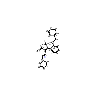 CC1(O)OC(=O)C(/C=C/c2ccccc2)=C1c1ccccc1OCc1ccccc1